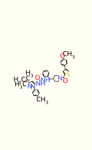 COc1ccc(-c2csc(C(=O)N3CCC(Cc4ccccc4NC(=O)Nc4cc(C(C)(C)C)nn4-c4ccc(C)cc4)CC3)c2)cc1